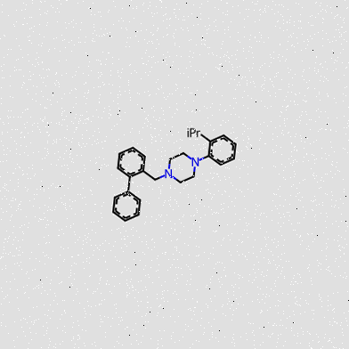 CC(C)c1ccccc1N1CCN(Cc2ccccc2-c2ccccc2)CC1